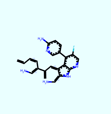 C=C/C=C\C(=C/N)C(=C)/C=c1\c(=C/N)[nH]c2ncc(F)c(-c3ccc(N)nc3)c12